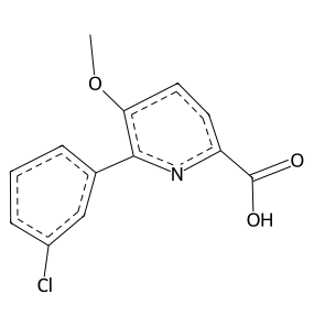 COc1ccc(C(=O)O)nc1-c1cccc(Cl)c1